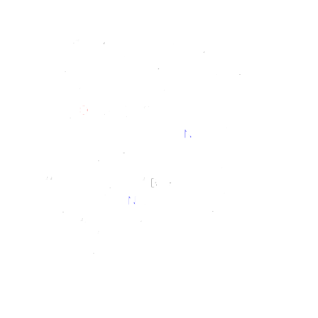 c1ccc2ccc3c(c2c#1)N(c1cccc2c1CCC=C2)c1cc2c(oc4ccccc42)c2c1B3n1c3ccccc3c3cccc-2c31